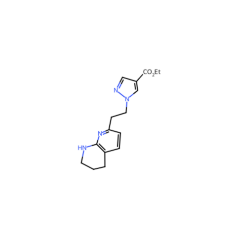 CCOC(=O)c1cnn(CCc2ccc3c(n2)NCCC3)c1